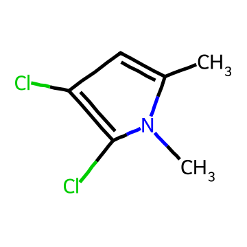 Cc1cc(Cl)c(Cl)n1C